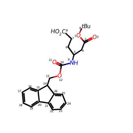 CC(C)(C)OC(=O)CC(CCC(=O)O)NC(=O)OCC1c2ccccc2-c2ccccc21